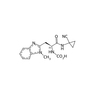 Cn1c(C[C@H](NC(=O)O)C(=O)NC2(C#N)CC2)nc2ccccc21